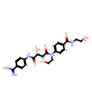 N=C(N)c1ccc(NC(=O)[C@H](O)[C@H]2OCCN(c3ccc(C(=O)NCCO)cc3)C2=O)cc1